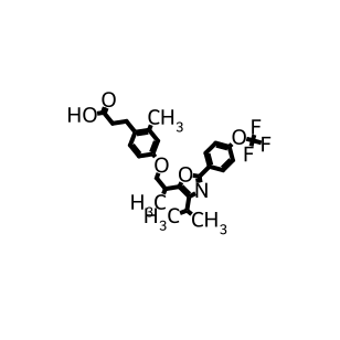 Cc1cc(OCC(C)c2oc(-c3ccc(OC(F)(F)F)cc3)nc2C(C)C)ccc1CCC(=O)O